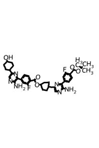 CC(C)(C)OC(=O)c1ccc(-c2nc(C3CCC(OC(=O)c4ccc(-c5nc(C6CCC(O)CC6)cnc5N)cc4F)CC3)cnc2N)cc1F